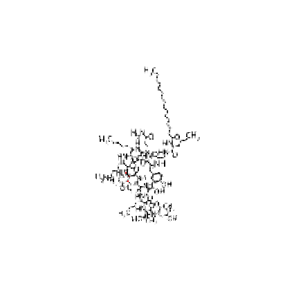 CCCCCCCCCCCCCCCC(=O)N[C@@H](CCCC)C(=O)NCC(=O)N[C@@H](Cc1ccc(O)cc1)C(=O)N[C@@H](CCC(N)=O)C(=O)N[C@@H](CCCCC)C(=O)N[C@@H](CCCCN)C(=O)N[C@@H](CC(C)C)C(=O)N[C@@H](CCCC)C(=O)N[C@@H](CO)C(=O)N[C@@H](CCCC)C(=O)N[C@H](C(=O)N[C@@H](CC(=O)O)C(C)=O)[C@@H](C)O